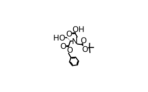 CC(C)(C)OC(=O)CN(CC(=O)O)[C@@H](CO)C(=O)OCc1ccccc1